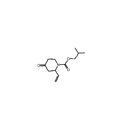 C=CC1CC(=O)CCN1C(=O)OCC(C)C